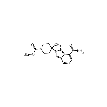 CC(C)(C)OC(=O)N1CCC(C)(n2cc3cccc(C(N)=O)c3n2)CC1